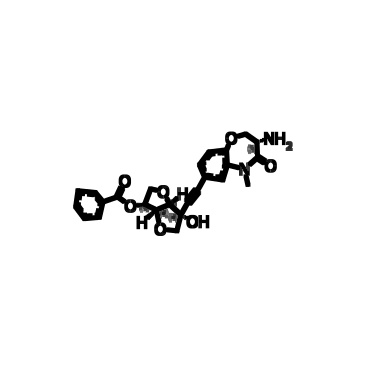 CN1C(=O)[C@@H](N)COc2ccc(C#C[C@@]3(O)CO[C@@H]4[C@@H](OC(=O)c5ccccc5)CO[C@@H]43)cc21